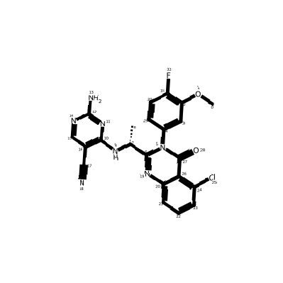 COc1cc(-n2c([C@@H](C)Nc3nc(N)ncc3C#N)nc3cccc(Cl)c3c2=O)ccc1F